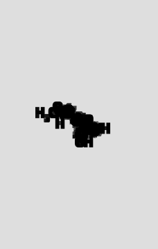 CC(=O)Nc1cccc(-c2ccc(N(C(=O)[C@H]3CCCNC3)C3CCC(O)CC3)nc2)c1